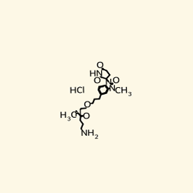 CN(CCOCCCc1ccc2c(c1)n(C)c(=O)n2C1CCC(=O)NC1=O)C(=O)CCCN.Cl